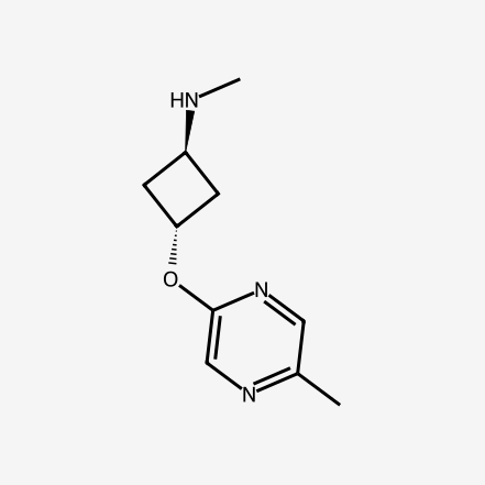 CN[C@H]1C[C@H](Oc2cnc(C)cn2)C1